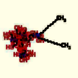 CCCCCCCCCCCCC/C=C/[C@@H](O)[C@H](CO[C@@H]1OC(CO)[C@@H](O[C@@H]2OC(CO)[C@H](O[C@@H]3OC(CO)[C@H](O)[C@H](O[C@@H]4OC(CO)[C@H](O)[C@H](O[C@@H]5OC(CO)[C@@H](O[C@@H]6OC(CO)[C@H](O)[C@H](O[C@]7(C(=O)O)CC(O)[C@@H](NC(=O)CO)C([C@H](O)[C@H](O)CO)O7)C6O)[C@H](O)C5NC(C)=O)C4O)C3NC(C)=O)[C@H](O)C2O)[C@H](O)C1O)NC(=O)CCCCCCCCCCCCCCC